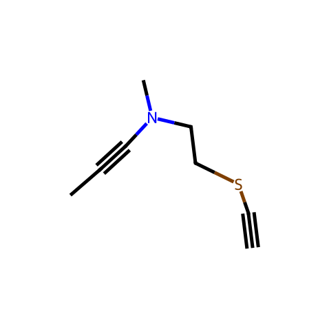 C#CSCCN(C)C#CC